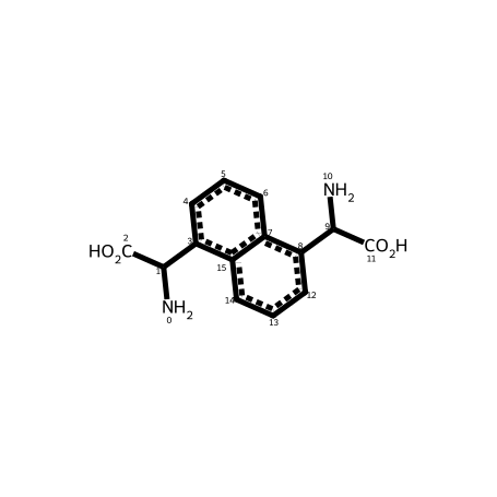 NC(C(=O)O)c1cccc2c(C(N)C(=O)O)cccc12